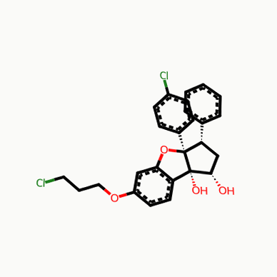 O[C@H]1C[C@@H](c2ccccc2)[C@]2(c3ccc(Cl)cc3)Oc3cc(OCCCCl)ccc3[C@]12O